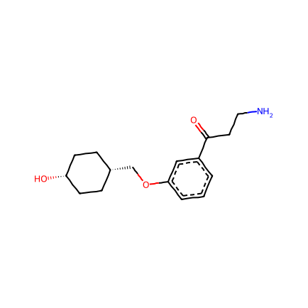 NCCC(=O)c1cccc(OC[C@H]2CC[C@@H](O)CC2)c1